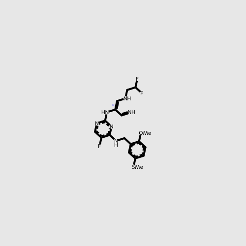 COc1ccc(SC)cc1CNc1nc(N/C(C=N)=C/NCC(F)F)ncc1F